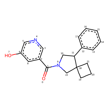 O=C(c1cncc(O)c1)N1CC(c2ccccc2)C2(CCC2)C1